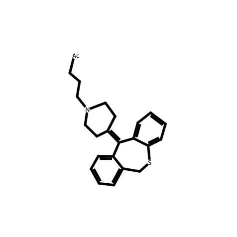 CC(=O)CCCN1CCC(=C2c3ccccc3CSc3ccccc32)CC1